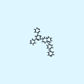 c1ccc(-c2nc(-c3ccccc3)nc(-c3ccc4c(-c5ccc(-c6ccncc6)cc5)cccc4c3)n2)cc1